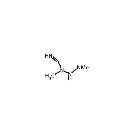 CNNN(C)C=N